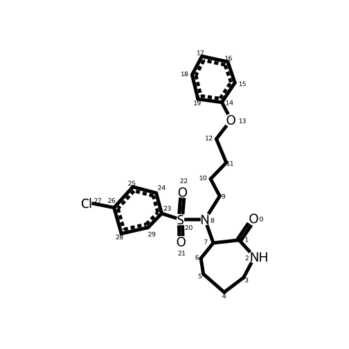 O=C1NCCCCC1N(CCCCOc1ccccc1)S(=O)(=O)c1ccc(Cl)cc1